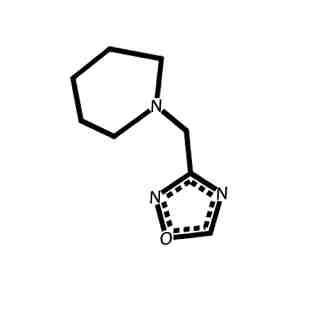 c1nc(CN2CCCCC2)no1